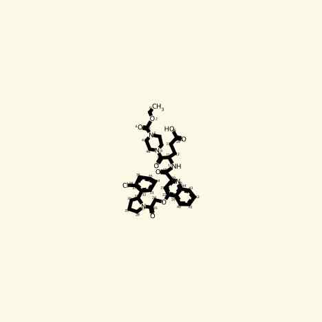 CCOC(=O)N1CCN(C(=O)C(CCC(=O)O)NC(=O)c2cc(OCC(=O)N3CCCC3c3ccccc3Cl)c3ccccc3n2)CC1